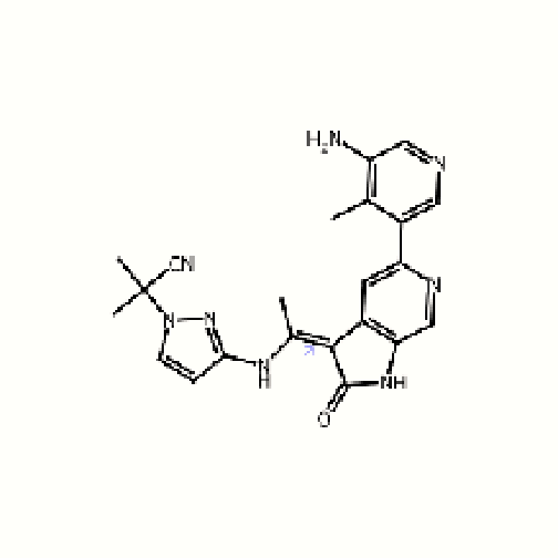 C/C(Nc1ccn(C(C)(C)C#N)n1)=C1/C(=O)Nc2cnc(-c3cncc(N)c3C)cc21